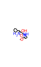 COC[C@@H]1CCCN1NC(=O)C(O)[C@H](N)CC1CCCCC1